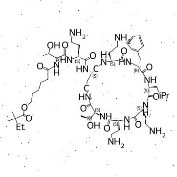 CCC(C)(C)C(=O)OCCCCCC(=O)N[C@H](C(=O)N[C@@H](CCN)C(=O)N[C@H]1CCNC(=O)[C@H]([C@H](C)O)NC(=O)[C@H](CCN)NC(=O)[C@H](CCN)NC(=O)[C@H](CC(C)C)NC(=O)[C@@H](Cc2ccccc2)NC(=O)[C@H](CCN)NC1)C(C)O